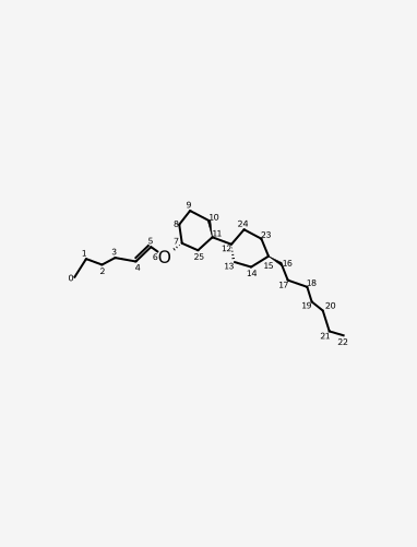 CCCCC=CO[C@@H]1CCC[C@@H]([C@H]2CC[C@H](CCCCCCC)CC2)C1